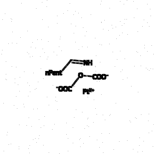 CCCCCC=N.O=C([O-])OC(=O)[O-].[Pt+2]